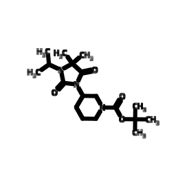 CC(C)N1C(=O)N(C2CCCN(C(=O)OC(C)(C)C)C2)C(=O)C1(C)C